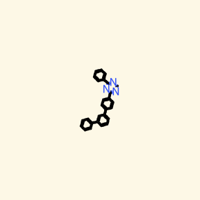 c1ccc(-c2cccc(-c3ccc(-c4ncnc(-c5ccccc5)n4)cc3)c2)cc1